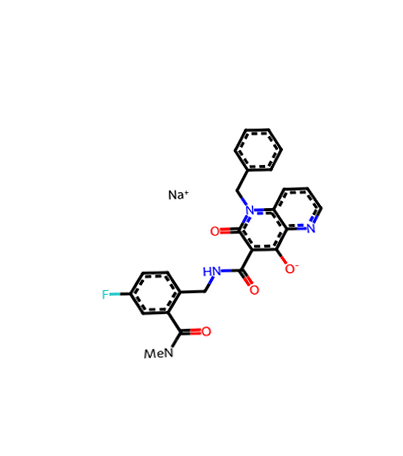 CNC(=O)c1cc(F)ccc1CNC(=O)c1c([O-])c2ncccc2n(Cc2ccccc2)c1=O.[Na+]